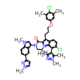 Cc1cc(OCCCc2c3n(c4c(-c5c(C)nn(C)c5C)c(Cl)ccc24)[C@H](C)CN(c2cn(C)c4ccc(-c5ccn(C)n5)cc24)C3=O)cc(C)c1Cl